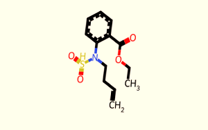 C=CCCN(c1ccccc1C(=O)OCC)[SH](=O)=O